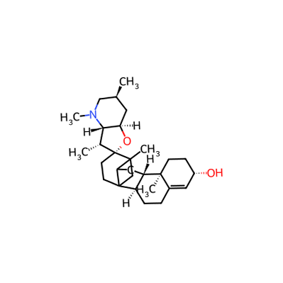 C[C@H]1C[C@H]2O[C@]3(CCC45CC3(C)C4C[C@H]3[C@H]5CCC4=C[C@@H](O)CC[C@@]43C)[C@H](C)[C@@H]2N(C)C1